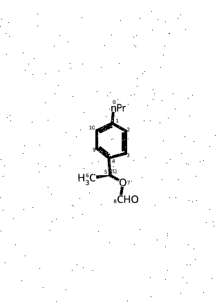 CCCc1ccc([C@H](C)OC=O)cc1